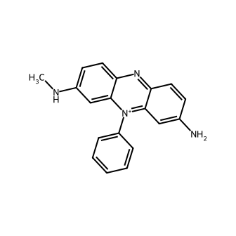 CNc1ccc2nc3ccc(N)cc3[n+](-c3ccccc3)c2c1